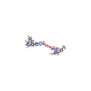 Cc1ncsc1-c1ccc(CNC(=O)[C@@H]2C[C@@H](O)CN2C(=O)C(NC(=O)COCCOCCOCC(=O)N2CCN(c3ncc(-c4cc(NC(=O)c5ccc(F)cc5C(F)(F)F)c(N5C[C@@H](C)N(C)[C@@H](C)C5)cc4F)cn3)CC2)C(C)(C)C)cc1